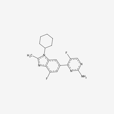 Cc1nc2c(F)cc(-c3nc(N)ncc3F)cc2n1C1CCCCC1